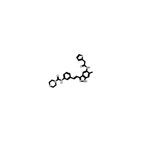 Cc1cc2[nH]nc(/C=C/c3cccc(NC(=O)N4CCSCC4)c3)c2cc1NC(=O)Cc1cccs1